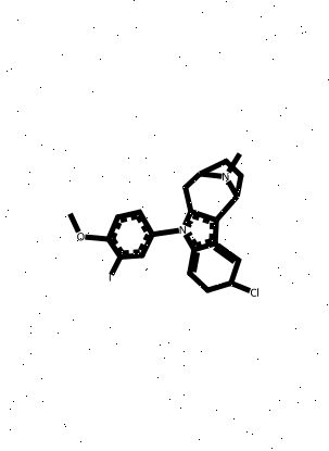 COc1ccc(-n2c3c(c4c2=CCC(Cl)C=4)C2CCC(C3)N2C)cc1I